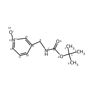 CC(C)(C)OC(=O)NCc1ccc[n+]([O-])c1